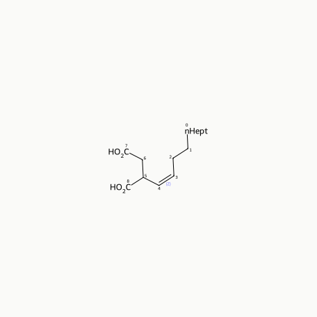 CCCCCCCCC/C=C\C(CC(=O)O)C(=O)O